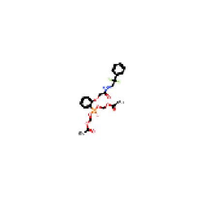 CC(C)(C)C(=O)OCOP(=O)(OCOC(=O)C(C)(C)C)c1ccccc1OCC(=O)NCC(F)(F)c1ccccc1